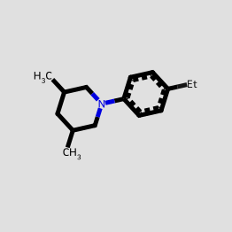 CCc1ccc(N2CC(C)CC(C)C2)cc1